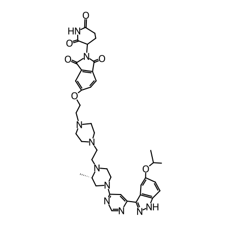 CC(C)Oc1ccc2[nH]nc(-c3cc(N4CCN(CCN5CCN(CCOc6ccc7c(c6)C(=O)N(C6CCC(=O)NC6=O)C7=O)CC5)[C@@H](C)C4)ncn3)c2c1